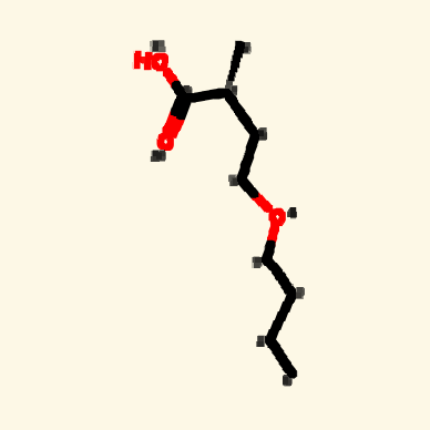 CCCCOCC[C@@H](C)C(=O)O